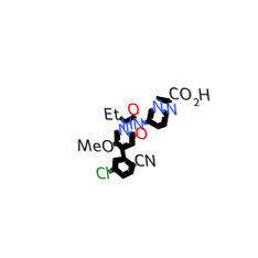 CCC(C(=O)Nc1ccc2nc(C(=O)O)cn2c1)n1cc(OC)c(-c2cc(Cl)ccc2C#N)cc1=O